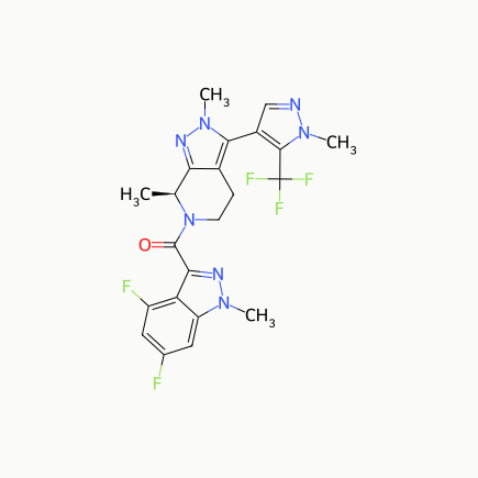 C[C@H]1c2nn(C)c(-c3cnn(C)c3C(F)(F)F)c2CCN1C(=O)c1nn(C)c2cc(F)cc(F)c12